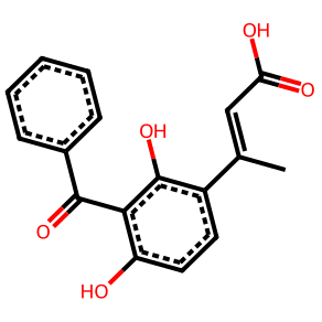 CC(=CC(=O)O)c1ccc(O)c(C(=O)c2ccccc2)c1O